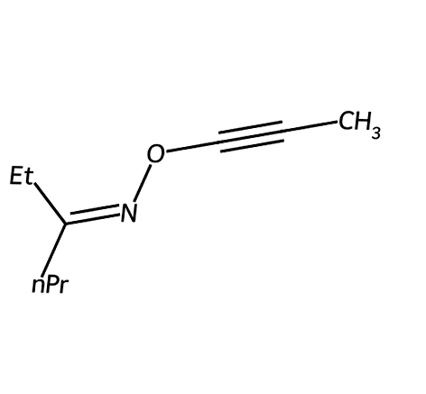 CC#CO/N=C(\CC)CCC